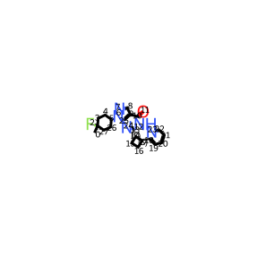 CC1(F)CCC(n2ncc3c(=O)[nH]c([C@H]4CC[C@@H]4c4ccccn4)nc32)CC1